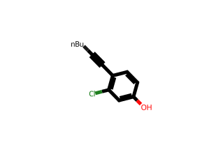 CCCCC#Cc1ccc(O)cc1Cl